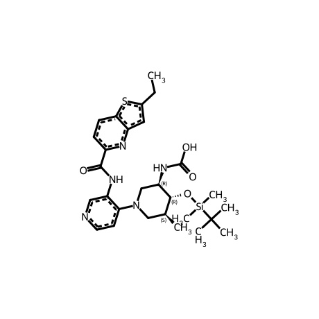 CCc1cc2nc(C(=O)Nc3cnccc3N3C[C@H](C)[C@@H](O[Si](C)(C)C(C)(C)C)[C@H](NC(=O)O)C3)ccc2s1